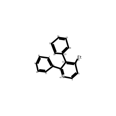 [CH2]Cc1ccnc(-c2ccccc2)c1-c1ccccc1